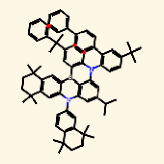 CC(C)c1cc2c3c(c1)N(c1ccc(C(C)(C)C)cc1-c1ccc(-c4ccccc4)cc1)c1ccc(C(C)(C)c4ccccc4)cc1B3c1cc3c(cc1N2c1ccc2c(c1)C(C)(C)CCC2(C)C)C(C)(C)CCC3(C)C